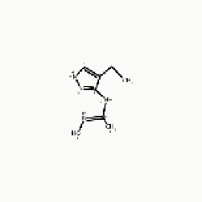 CCc1c[nH]nc1NC(C)=NO